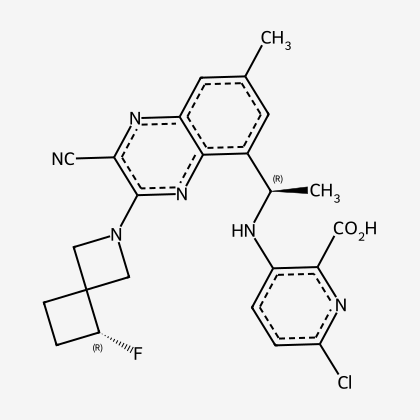 Cc1cc([C@@H](C)Nc2ccc(Cl)nc2C(=O)O)c2nc(N3CC4(CC[C@H]4F)C3)c(C#N)nc2c1